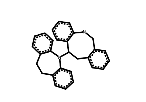 c1ccc2c(c1)C[N]c1ccccc1C(N1c3ccccc3CCc3ccccc31)C2